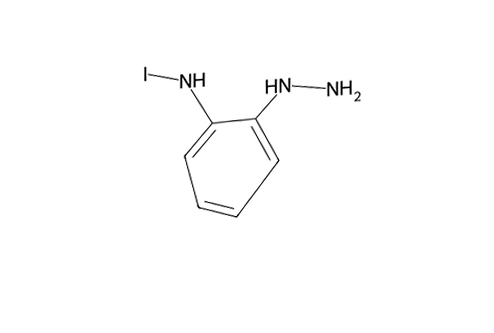 NNc1ccccc1NI